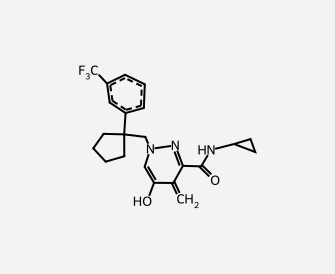 C=C1C(O)=CN(CC2(c3cccc(C(F)(F)F)c3)CCCC2)N=C1C(=O)NC1CC1